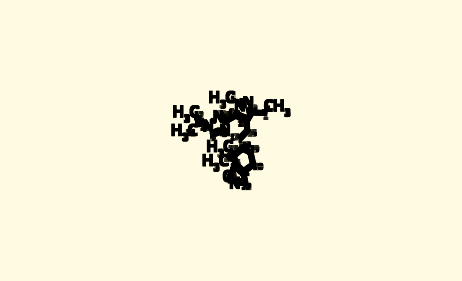 CCc1nn(C)c(-c2ncn(C(C)C)n2)c1CC[C@@H]1CCc2cnoc2C1(C)C